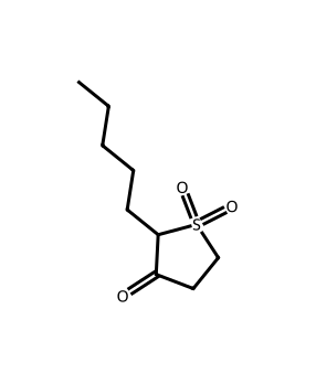 CCCCCC1C(=O)CCS1(=O)=O